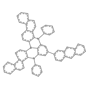 c1ccc(N2c3cc(-c4ccc5cc6ccccc6cc5c4)cc4c3B(c3ccc5c(ccc6ccccc65)c32)c2ccc3c(ccc5ccccc53)c2N4c2ccccc2)cc1